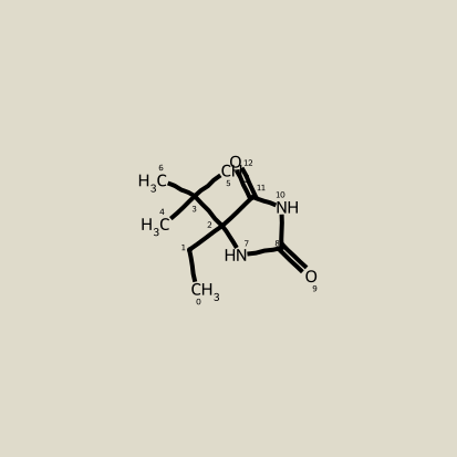 CCC1(C(C)(C)C)NC(=O)NC1=O